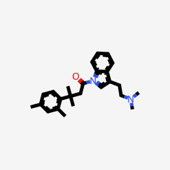 Cc1ccc(C(C)(C)CC(=O)n2cc(CCN(C)C)c3ccccc32)c(C)c1